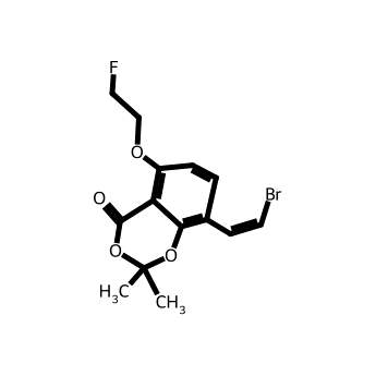 CC1(C)OC(=O)c2c(OCCF)ccc(/C=C\Br)c2O1